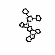 c1ccc(-c2nc(-c3ccccc3)nc(-n3c4ccccc4c4cc5c(cc43)c3ccccc3c3cc4ccccc4n35)n2)cc1